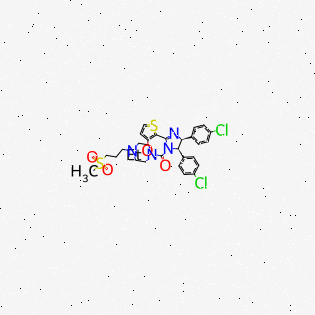 CCOc1ccsc1C1=N[C@@H](c2ccc(Cl)cc2)[C@@H](c2ccc(Cl)cc2)N1C(=O)N1CCN(CCCS(C)(=O)=O)CC1